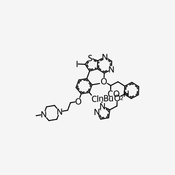 CCCCn1nccc1COc1ccccc1CC(Oc1ncnc2sc(I)c(-c3ccc(OCCN4CCN(C)CC4)c(Cl)c3C)c12)C(=O)O